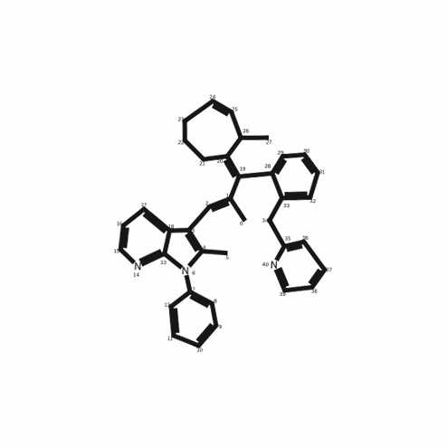 CC(=C\c1c(C)n(-c2ccccc2)c2ncccc12)/C(=C1\CCCC=CC1C)c1ccccc1Cc1ccccn1